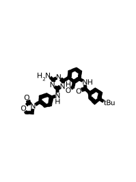 CC(C)(C)c1ccc(C(=O)Nc2cccc(-c3nc(N)nc(Nc4ccc(N5CCOC5=O)cc4)n3)c2CO)cc1